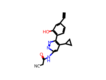 C#Cc1ccc(-c2nnc(NC(=O)CC#N)cc2C2CC2)c(O)c1